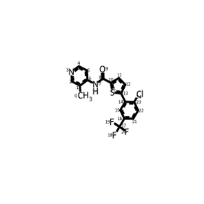 Cc1cnccc1NC(=O)c1ccc(-c2cc(C(F)(F)F)ccc2Cl)s1